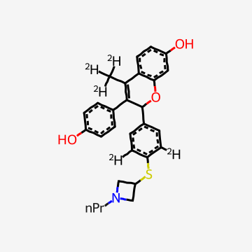 [2H]c1cc(C2Oc3cc(O)ccc3C(C([2H])([2H])[2H])=C2c2ccc(O)cc2)cc([2H])c1SC1CN(CCC)C1